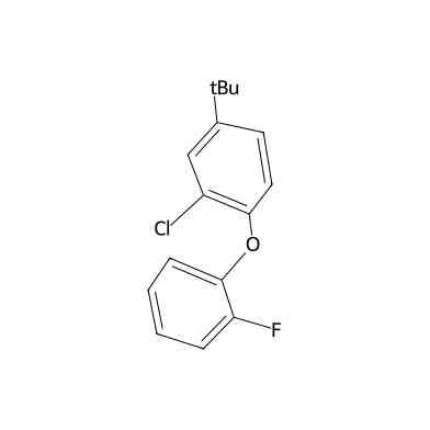 CC(C)(C)c1ccc(Oc2ccccc2F)c(Cl)c1